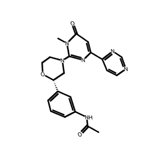 CC(=O)Nc1cccc([C@H]2CN(c3nc(-c4ccncn4)cc(=O)n3C)CCO2)c1